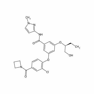 CC[C@@H](CO)Oc1cc(Oc2ccc(C(=O)N3CCC3)cc2Cl)cc(C(=O)Nc2ccn(C)n2)c1